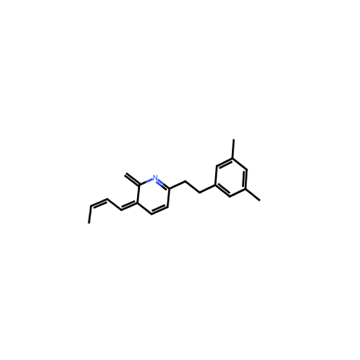 C=c1nc(CCc2cc(C)cc(C)c2)cc/c1=C/C=C\C